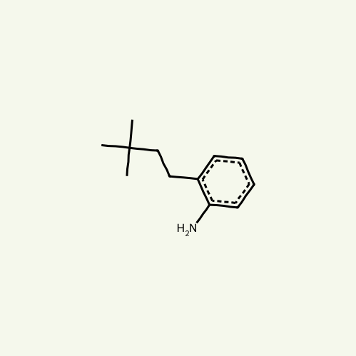 CC(C)(C)CCc1ccccc1N